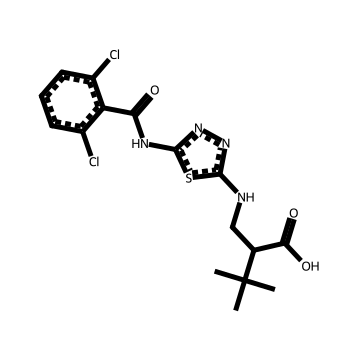 CC(C)(C)C(CNc1nnc(NC(=O)c2c(Cl)cccc2Cl)s1)C(=O)O